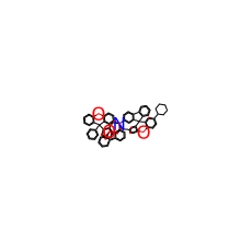 c1ccc(C2(c3ccccc3)c3ccccc3Oc3ccc(N(c4ccc5c(c4)C4(c6cc(C7CCCCC7)ccc6Oc6ccc(C7CCCCC7)cc64)c4ccccc4-5)c4cccc5c4oc4ccccc45)cc32)cc1